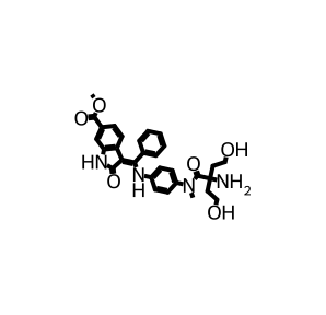 COC(=O)c1ccc2c(c1)NC(=O)/C2=C(\Nc1ccc(N(C)C(=O)C(N)(CCO)CCO)cc1)c1ccccc1